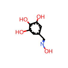 O/N=C/c1cc(O)c(O)c(O)c1